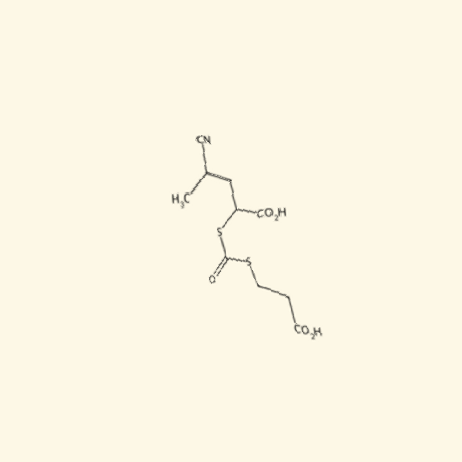 CC(C#N)CC(SC(=O)SCCC(=O)O)C(=O)O